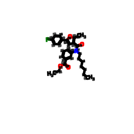 CCCCCCCN(C(=O)c1cc(-c2ccc(F)cc2)oc1C)c1cccc(C(=O)OCC)c1